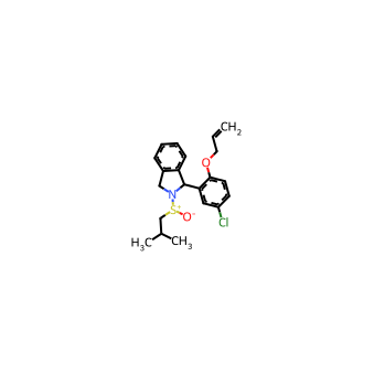 C=CCOc1ccc(Cl)cc1C1c2ccccc2CN1[S+]([O-])CC(C)C